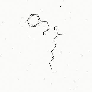 CCCCCCC(C)OC(=O)Cc1ccccc1